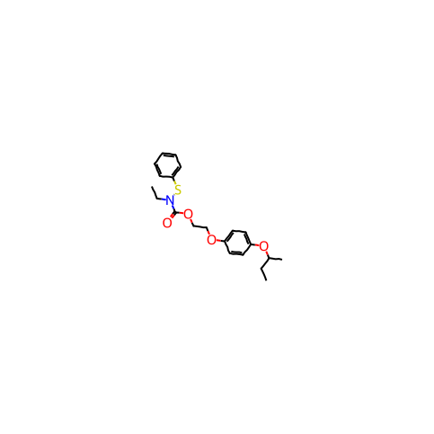 CCC(C)Oc1ccc(OCCOC(=O)N(CC)Sc2ccccc2)cc1